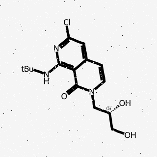 CC(C)(C)Nc1nc(Cl)cc2ccn(C[C@H](O)CO)c(=O)c12